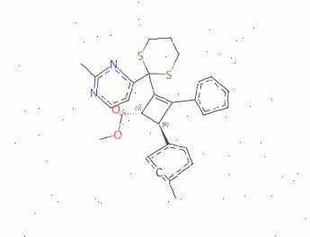 COC(=O)[C@@H]1C(C2(c3ccnc(C)n3)SCCCS2)=C(c2ccccc2)[C@H]1c1ccc(C)cc1